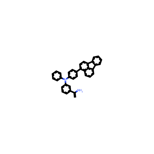 C=C(N)c1cccc(N(c2ccccc2)c2ccc(-c3ccc4c5c(cccc35)-c3ccccc3-4)cc2)c1